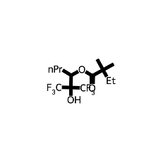 CCCC(OC(=O)C(C)(C)CC)C(O)(C(F)(F)F)C(F)(F)F